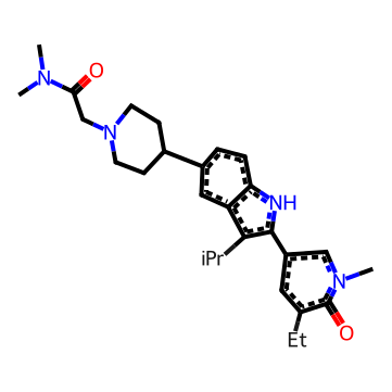 CCc1cc(-c2[nH]c3ccc(C4CCN(CC(=O)N(C)C)CC4)cc3c2C(C)C)cn(C)c1=O